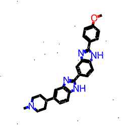 COc1ccc(-c2nc3cc(-c4nc5cc(C6CCN(C)CC6)ccc5[nH]4)ccc3[nH]2)cc1